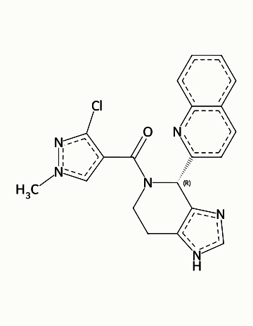 Cn1cc(C(=O)N2CCc3[nH]cnc3[C@H]2c2ccc3ccccc3n2)c(Cl)n1